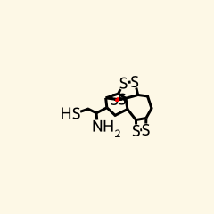 NC(CS)C1CC2C3SSC3CCC3SSC4C1CSSCC324